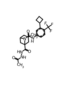 CC(=O)NNC(=O)C12CC(C)CC(C1)N2C(=O)Nc1ccc(C(F)(F)F)c(C2CCC2)c1